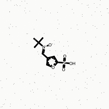 CC(C)(C)[N+]([O-])=Cc1coc(S(=O)(=O)O)c1